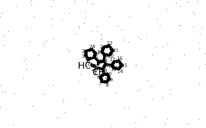 C#C[Si]1(C)C(c2ccccc2)=C(c2ccccc2)C(c2ccccc2)=C1c1ccccc1